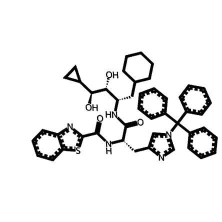 O=C(N[C@@H](Cc1cn(C(c2ccccc2)(c2ccccc2)c2ccccc2)cn1)C(=O)N[C@@H](CC1CCCCC1)[C@@H](O)[C@@H](O)C1CC1)c1nc2ccccc2s1